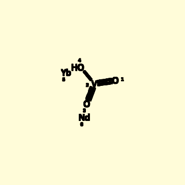 [Nd].[O]=[V](=[O])[OH].[Yb]